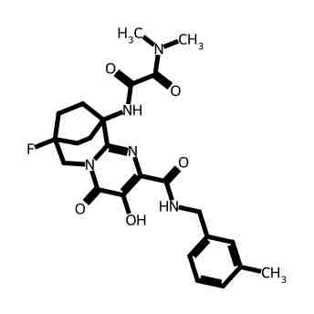 Cc1cccc(CNC(=O)c2nc3n(c(=O)c2O)CC2(F)CCC3(NC(=O)C(=O)N(C)C)CC2)c1